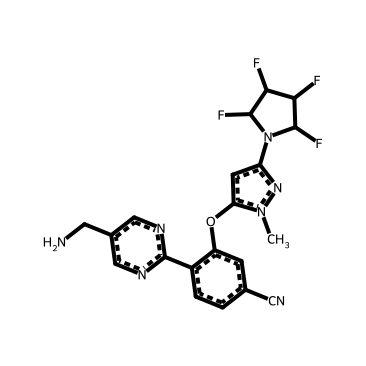 Cn1nc(N2C(F)C(F)C(F)C2F)cc1Oc1cc(C#N)ccc1-c1ncc(CN)cn1